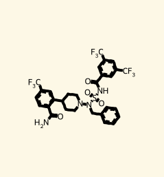 NC(=O)c1ccc(C(F)(F)F)cc1C1CCN(N(Cc2ccccc2)S(=O)(=O)NC(=O)c2cc(C(F)(F)F)cc(C(F)(F)F)c2)CC1